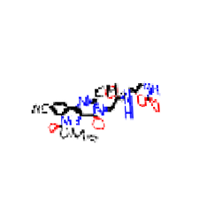 COC(=O)Nc1cc(C#N)ccc1-c1cc(=O)n(CC(=O)NCC2CNC(=O)O2)c(C)n1